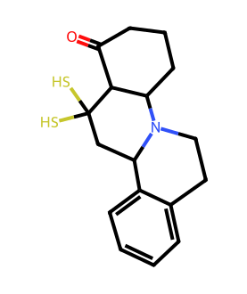 O=C1CCCC2C1C(S)(S)CC1c3ccccc3CCN12